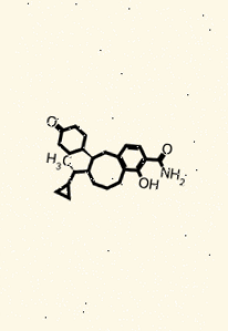 C[C@@H](C1CC1)C1CCCc2c(ccc(C(N)=O)c2O)C[C@@H]1C1CCC(=O)CC1